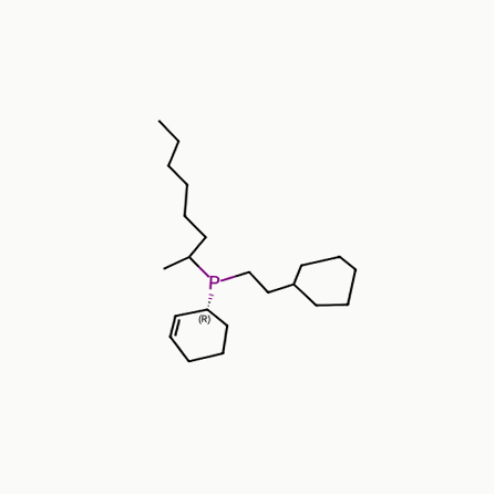 CCCCCCC(C)P(CCC1CCCCC1)[C@H]1C=CCCC1